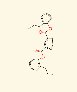 CCCCc1ccccc1OC(=O)c1cccc(C(=O)Oc2ccccc2CCCC)c1